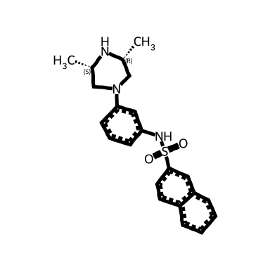 C[C@@H]1CN(c2cccc(NS(=O)(=O)c3ccc4ccccc4c3)c2)C[C@H](C)N1